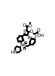 COC(=O)c1sc(-c2cccc(N(C3CCNCC3)S(=O)(=O)Cc3ccc(F)cc3)c2)c(Br)c1OCC(=O)O